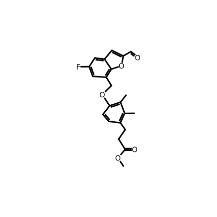 COC(=O)CCc1ccc(OCc2cc(F)cc3cc(C=O)oc23)c(C)c1C